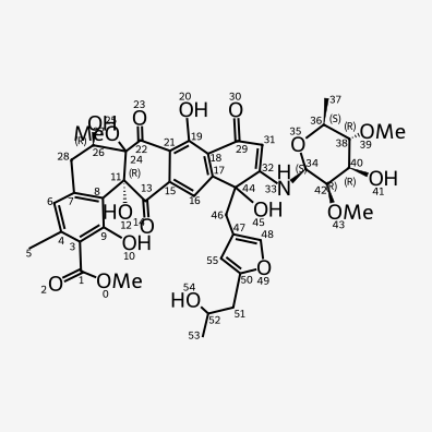 COC(=O)c1c(C)cc2c(c1O)[C@]1(O)C(=O)c3cc4c(c(O)c3C(=O)C1(OC)[C@H](O)C2)C(=O)C=C(N[C@H]1O[C@@H](C)[C@H](OC)[C@@H](O)[C@H]1OC)C4(O)Cc1coc(CC(C)O)c1